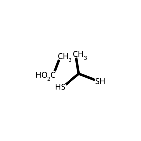 CC(=O)O.CC(S)S